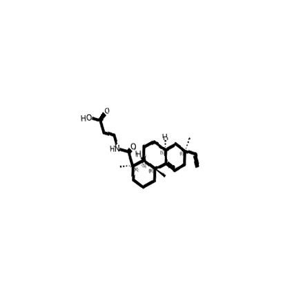 C=C[C@@]1(C)CC=C2[C@@H](CC[C@@H]3[C@](C)(C(=O)NCCC(=O)O)CCC[C@@]23C)C1